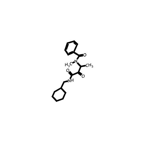 CC(C(=O)C(=O)NCC1CCCCC1)N(C)C(=O)c1ccccc1